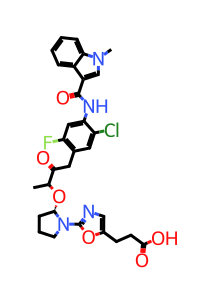 CC(O[C@H]1CCCN1c1ncc(CCC(=O)O)o1)C(=O)Cc1cc(Cl)c(NC(=O)c2cn(C)c3ccccc23)cc1F